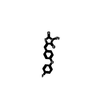 CC(C)N1C(=O)SC(=Cc2ccc(Oc3ccc(F)cc3)cc2)C1=O